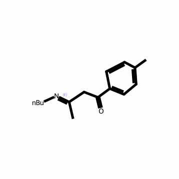 CCCC/N=C(\C)CC(=O)c1ccc(C)cc1